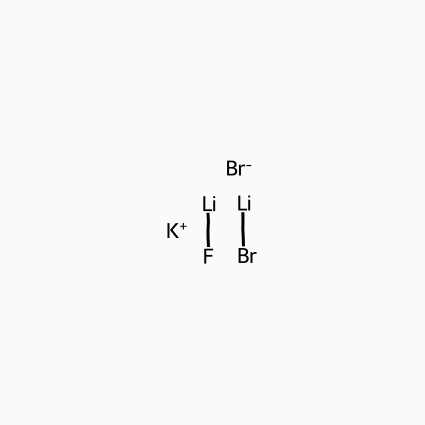 [Br-].[K+].[Li][Br].[Li][F]